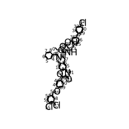 CC[C@@H](c1ccccc1)N1Cc2cc3c(cc2C[C@H]1C(=O)N[C@@H](Cc1ccc(-c2ccc(Cl)cc2)cc1)C(=O)O)N(C)C(=O)[C@@H](c1ccc(OCc2ccc(Cl)c(Cl)c2)cc1)O3